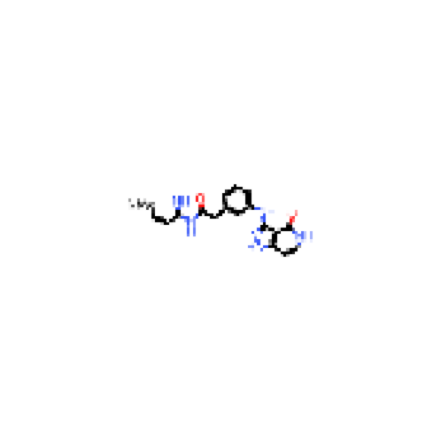 CN/C=C\C(=N)NC(=O)Cc1cccc(Nc2n[nH]c3cc[nH]c(=O)c23)c1